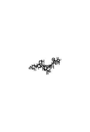 CN1CCN(c2ccc(Nc3ncc(C(F)F)c(NCCCNC(=O)C4CCC4)n3)c(Cl)c2)CC1